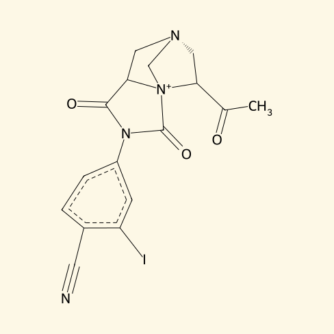 CC(=O)C1C[N@@]2CC3C(=O)N(c4ccc(C#N)c(I)c4)C(=O)[N+]13C2